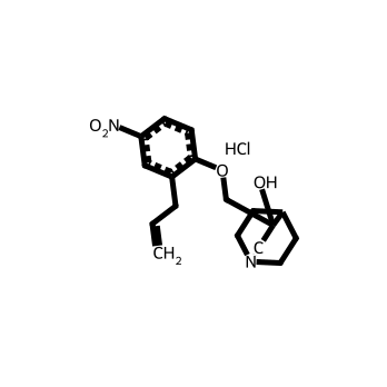 C=CCc1cc([N+](=O)[O-])ccc1OCC1(O)CN2CCC1CC2.Cl